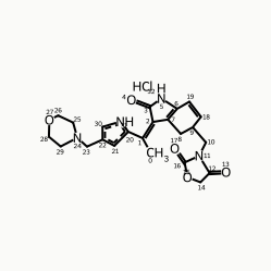 CC(=C1C(=O)NC2=C1CC(CN1C(=O)COC1=O)C=C2)c1cc(CN2CCOCC2)c[nH]1.Cl